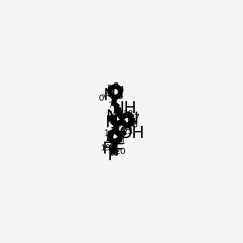 CN1CCCCC1CNc1nnc(-c2ccc(C(F)(F)F)cc2O)c2ccncc12